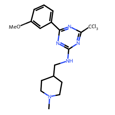 COc1cccc(-c2nc(NCC3CCN(C)CC3)nc(C(Cl)(Cl)Cl)n2)c1